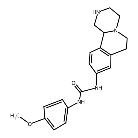 COc1ccc(NC(=O)Nc2ccc3c(c2)CCN2CCNCC32)cc1